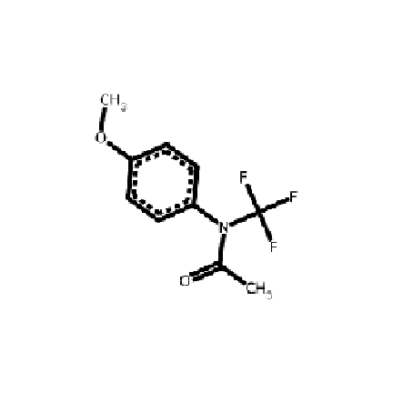 COc1ccc(N(C(C)=O)C(F)(F)F)cc1